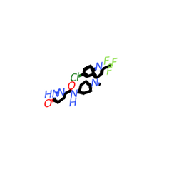 CN(c1cc(C(F)(F)F)nc2ccc(Cl)cc12)[C@H]1CC[C@@H](NC(=O)C2=NNC(=O)CC2)CC1